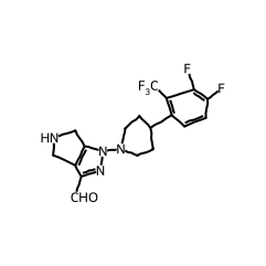 O=Cc1nn(N2CCC(c3ccc(F)c(F)c3C(F)(F)F)CC2)c2c1CNC2